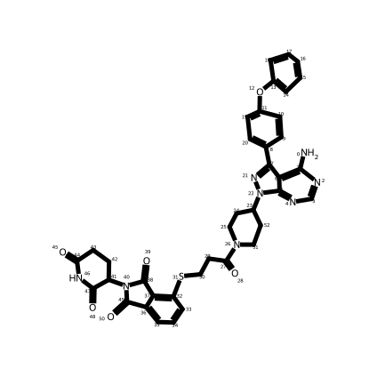 Nc1ncnc2c1c(-c1ccc(Oc3ccccc3)cc1)nn2C1CCN(C(=O)CCSc2cccc3c2C(=O)N(C2CCC(=O)NC2=O)C3=O)CC1